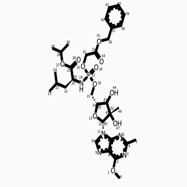 COc1nc(C)nc2c1ncn2[C@@H]1O[C@H](COP(=O)(N[C@@H](CC(C)C)C(=O)OC(C)C)OCC(=O)OCc2ccccc2)C(O)[C@]1(C)O